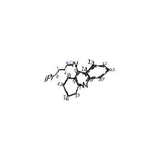 CC(C)CC/C=N\c1c2c(nc3ccccc13)CCCC2